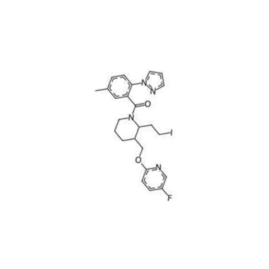 Cc1ccc(-n2cccn2)c(C(=O)N2CCCC(COc3ccc(F)cn3)C2CCI)c1